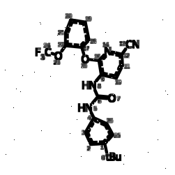 CC(C)(C)c1ccc(NC(=O)Nc2ccc(C#N)nc2Oc2ccccc2OC(F)(F)F)cc1